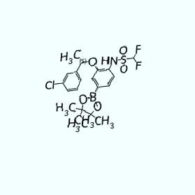 C[C@H](Oc1cc(B2OC(C)(C)C(C)(C)O2)ccc1NS(=O)(=O)C(F)F)c1cccc(Cl)c1